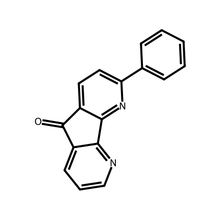 O=C1c2cccnc2-c2nc(-c3ccccc3)ccc21